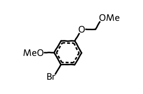 COCOc1ccc(Br)c(OC)c1